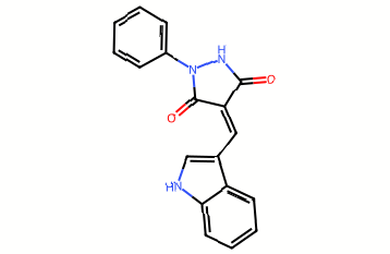 O=C1NN(c2ccccc2)C(=O)C1=Cc1c[nH]c2ccccc12